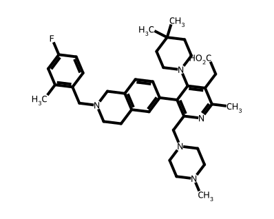 Cc1cc(F)ccc1CN1CCc2cc(-c3c(CN4CCN(C)CC4)nc(C)c(CC(=O)O)c3N3CCC(C)(C)CC3)ccc2C1